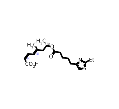 CCc1nc(CCCCC(=O)O[C@@H](C)C/C(C)=C/C=C\C(=O)O)cs1